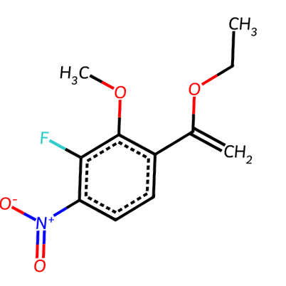 C=C(OCC)c1ccc([N+](=O)[O-])c(F)c1OC